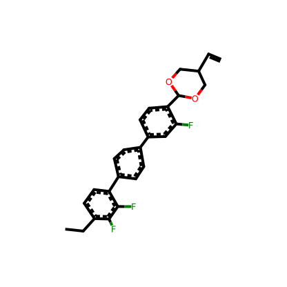 C=CC1COC(c2ccc(-c3ccc(-c4ccc(CC)c(F)c4F)cc3)cc2F)OC1